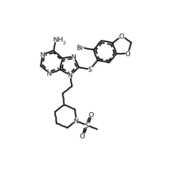 CS(=O)(=O)N1CCCC(CCn2c(Sc3cc4c(cc3Br)OCO4)nc3c(N)ncnc32)C1